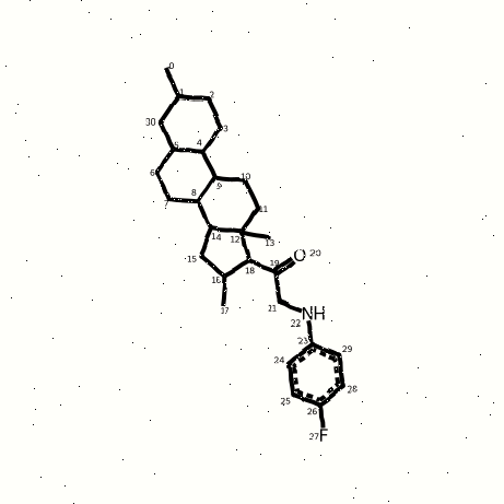 CC1CCC2C(CCC3C2CCC2(C)C3CC(C)C2C(=O)CNc2ccc(F)cc2)C1